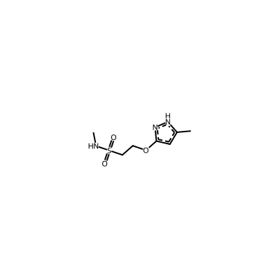 CNS(=O)(=O)CCOc1cc(C)[nH]n1